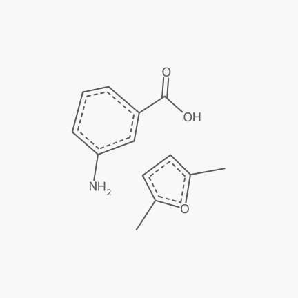 Cc1ccc(C)o1.Nc1cccc(C(=O)O)c1